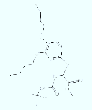 CCCCOc1ccc(CC(NC(=O)OC(C)(C)C)C(=O)OC)cc1OCCCC